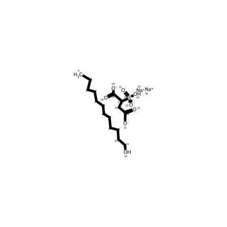 CCCCCCCCCCCCO.O=C([O-])CC(C(=O)[O-])S(=O)(=O)O.[Na+].[Na+]